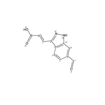 O=Cc1ccc2c(C=CC(=O)O)n[nH]c2c1